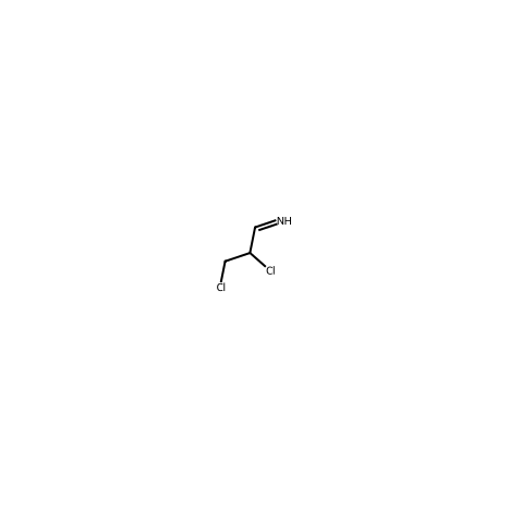 N=CC(Cl)CCl